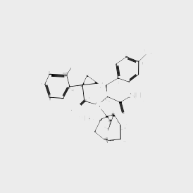 NC(=O)[C@H](Cc1ccc(Br)cc1)N(C(=O)C1(c2ccccc2F)CC1)[C@@H]1CN2CCC1CC2